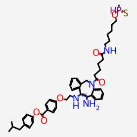 CC(C)Cc1ccc(OC(=O)c2ccc(OCCN/C3=C(\N)c4ccccc4N(C(=O)CCCCC(=O)NCCCCCCO[PH](C)=S)Cc4ccccc43)cc2)cc1